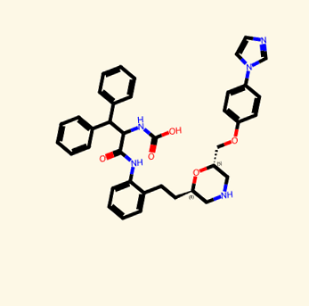 O=C(O)NC(C(=O)Nc1ccccc1CC[C@@H]1CNC[C@@H](COc2ccc(-n3ccnc3)cc2)O1)C(c1ccccc1)c1ccccc1